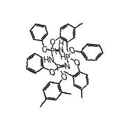 Cc1ccc(OP2(Oc3ccccc3)=N[PH](Oc3ccccc3)(Oc3ccc(C)cc3C)N[PH](Oc3ccccc3)(Oc3ccc(C)cc3C)N2)c(C)c1